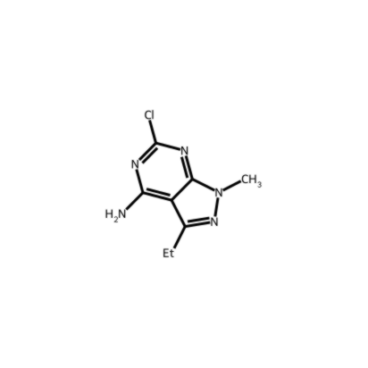 CCc1nn(C)c2nc(Cl)nc(N)c12